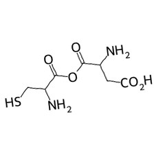 NC(CS)C(=O)OC(=O)C(N)CC(=O)O